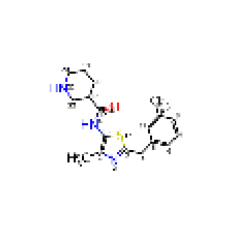 Cc1nc(Cc2cccc(C(F)(F)F)c2)sc1NC(=O)C1CCCNC1